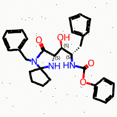 O=C(N[C@@H](Cc1ccccc1)[C@H](O)[C@@H]1NC2(CCCC2)N(Cc2ccccc2)C1=O)Oc1ccccc1